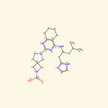 CC(C)CC(Cc1ncc[nH]1)Nc1nc(N2CCC3(CN(C(=O)O)C3)C2)nc2c1CCCC2